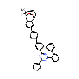 C[C@@H]1/C=C\CC2c3ccccc3C1c1ccc(-c3ccc(-c4ccc(-c5nc(-c6ccccc6)nc(-c6ccccc6-c6ccccc6)n5)cc4)cc3)cc12